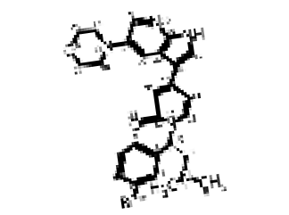 CN(C)C[C@H](c1cccc(Br)c1)n1ccc(-c2c[nH]c3ncc(N4CCOCC4)cc23)cc1=O